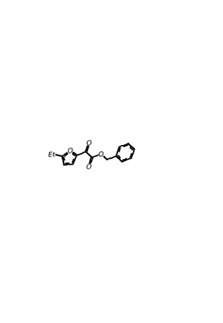 CCc1ccc(C(=O)C(=O)OCc2ccccc2)o1